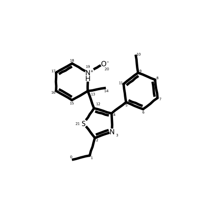 CCc1nc(-c2cccc(C)c2)c(C2(C)C=CC=C[NH+]2[O-])s1